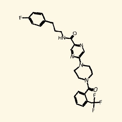 O=C(NCCCc1ccc(F)cc1)c1cnc(N2CCN(C(=O)c3ccccc3C(F)(F)F)CC2)cn1